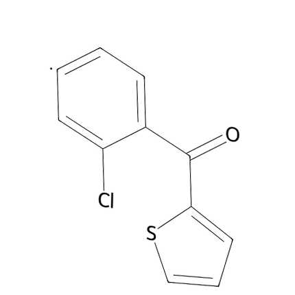 O=C(c1cccs1)c1cc[c]cc1Cl